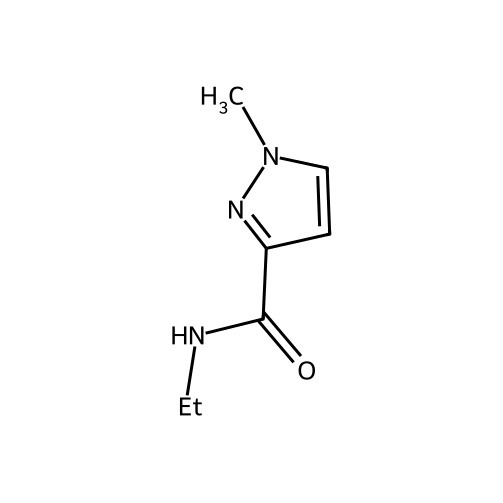 CCNC(=O)c1ccn(C)n1